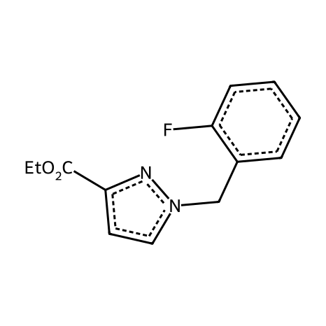 CCOC(=O)c1ccn(Cc2ccccc2F)n1